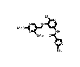 CCc1ncc(NC(=O)c2csc(C(C)(C)C)n2)cc1NCc1cnc(SC)nc1NC